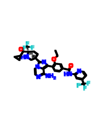 CCOc1cc(C(=O)Nc2cc(C(F)(F)F)ccn2)ccc1-c1nc([C@@H]2CC[C@@](C(=O)C3CC3)(C(F)(F)F)NC2)n2ccnc(N)c12